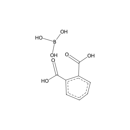 O=C(O)c1ccccc1C(=O)O.OB(O)O